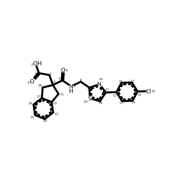 O=C(O)CC1(C(=O)NCc2nc(-c3ccc(Cl)cc3)cs2)Cc2ccccc2C1